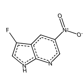 O=[N+]([O-])c1cnc2[nH]cc(F)c2c1